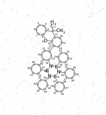 CC1(C)c2ccccc2Oc2c(-c3cccc(N4B(c5ccccc5)N(c5ccccc5)B(c5ccccc5)N(c5ccccc5)B4c4ccccc4)c3)cccc21